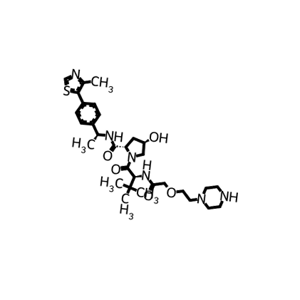 Cc1ncsc1-c1ccc([C@H](C)NC(=O)[C@@H]2C[C@@H](O)CN2C(=O)[C@@H](NC(=O)COCCN2CCNCC2)C(C)(C)C)cc1